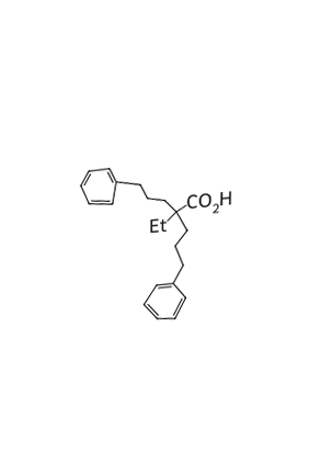 CCC(CCCc1ccccc1)(CCCc1ccccc1)C(=O)O